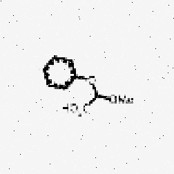 COC(Oc1cc[c]cc1)C(=O)O